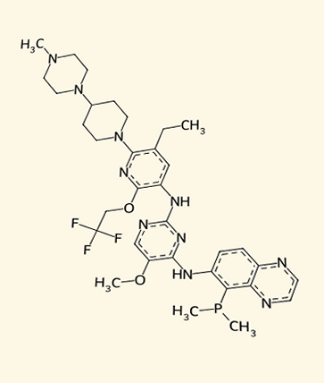 CCc1cc(Nc2ncc(OC)c(Nc3ccc4nccnc4c3P(C)C)n2)c(OCC(F)(F)F)nc1N1CCC(N2CCN(C)CC2)CC1